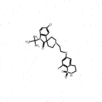 BC(B)(B)N1C(=O)C2(CCN(CCOc3cc(F)c4c(c3)CCNS4(=O)=O)CC2)c2cc(Cl)ccc21